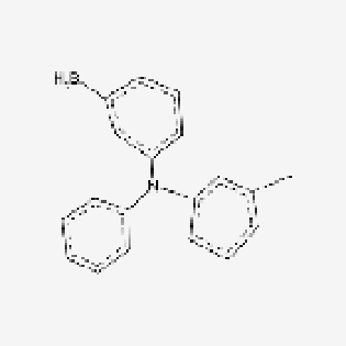 Bc1cccc(N(c2ccccc2)c2cccc(C)c2)c1